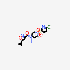 C[C@H]1C[C@H](NC(=O)c2cc(C3CC3)on2)CCN1S(=O)(=O)c1ccc(Cl)nc1